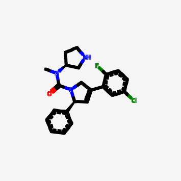 CN(C(=O)N1CC(c2cc(Cl)ccc2F)=C[C@H]1c1ccccc1)[C@H]1CCNC1